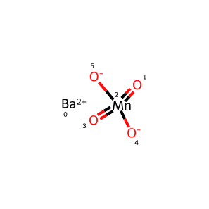 [Ba+2].[O]=[Mn](=[O])([O-])[O-]